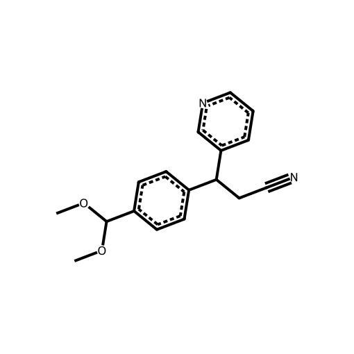 COC(OC)c1ccc(C(CC#N)c2cccnc2)cc1